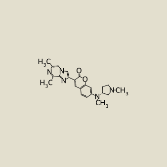 Cc1cn2cc(-c3cc4ccc(N(C)[C@@H]5CCN(C)C5)cc4oc3=O)nc2c(C)n1